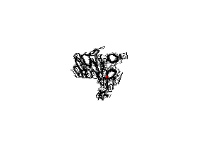 CCOc1cc(OC)c(S(=O)(=O)N(C)OC)cc1C1=N[C@@H](c2ccc(Cl)cc2)[C@@H](c2ccc(Cl)cc2)N1C(=O)N1CCN(C(=O)c2c(C)noc2C)CC1